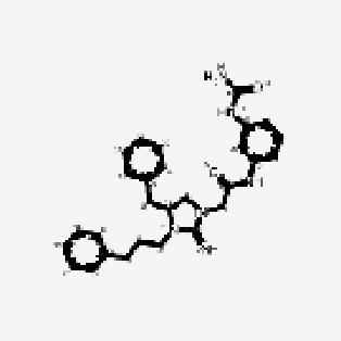 N=C1N(CC(=O)Nc2cccc(NC(N)=O)c2)CC(Cc2ccccc2)N1CCCc1ccccc1